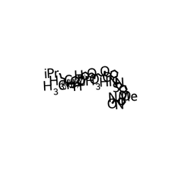 CNC(=O)c1cc(Oc2ccc3nc(NC4CCCCC4OC(=O)CCC(=O)OC4CC[C@@]5(C)C(=CC[C@H]6[C@@H]7CC[C@H]([C@H](C)CCCC(C)C)[C@@]7(C)CC[C@@H]65)C4)sc3c2)ccn1